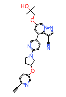 C#Cc1ccc(OC2CCN(c3ccc(-c4cc(OCC(C)(C)O)cn5ncc(C#N)c45)cn3)C2)cn1